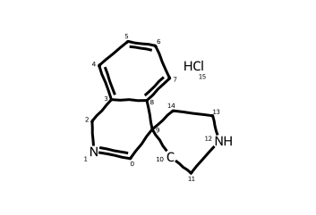 C1=NCc2ccccc2C12CCNCC2.Cl